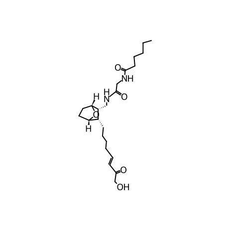 CCCCCC(=O)NCC(=O)NC[C@@H]1[C@H](CCCCC=CC(=O)CO)[C@@H]2CC[C@H]1O2